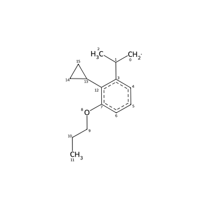 [CH2]C(C)c1cccc(OCCC)c1C1CC1